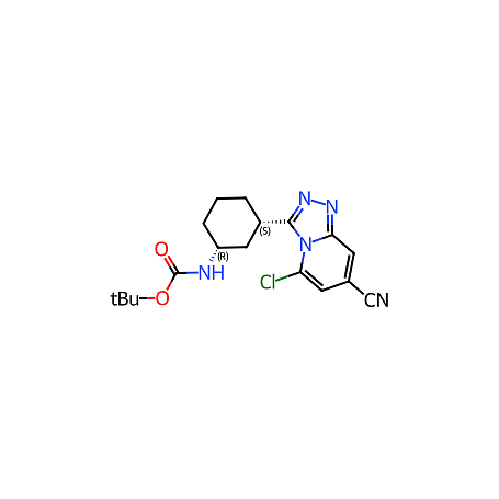 CC(C)(C)OC(=O)N[C@@H]1CCC[C@H](c2nnc3cc(C#N)cc(Cl)n23)C1